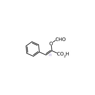 O=CO/C(=C\c1ccccc1)C(=O)O